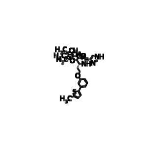 Cc1ccc(-c2cccc(OCC[C@@H](NC(=O)c3c[nH]cn3)[C@H](C)O[Si](C)(C)C(C)(C)C)c2)s1